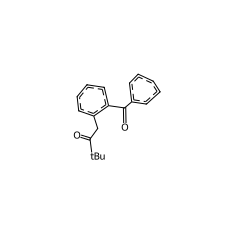 CC(C)(C)C(=O)Cc1ccccc1C(=O)c1ccccc1